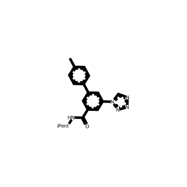 CCCC(C)NC(=O)c1cc(-c2ccc(C)cc2)cc(-n2cnnn2)c1